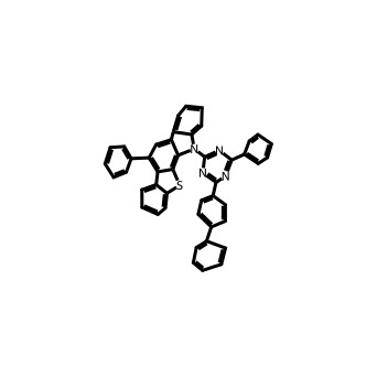 c1ccc(-c2ccc(-c3nc(-c4ccccc4)nc(-n4c5ccccc5c5cc(-c6ccccc6)c6c7ccccc7sc6c54)n3)cc2)cc1